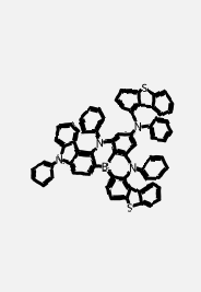 c1ccc(N(c2cc3c4c(c2)N(c2ccccc2)c2c(ccc5c2c2ccccc2n5-c2ccccc2)B4c2ccc4sc5ccccc5c4c2N3c2ccccc2)c2cccc3sc4ccccc4c23)cc1